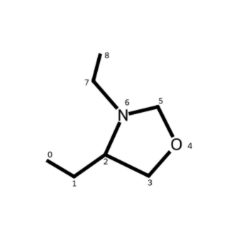 CCC1COCN1CC